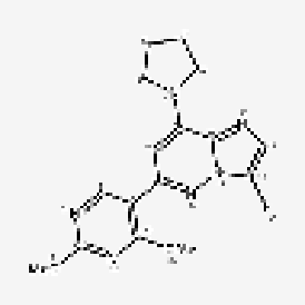 COc1ncc(-c2cc(N3CCCC3)c3ncc(F)n3n2)c(OC)n1